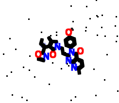 C/C=C(\C1=C(C)CN(CCc2nc3nc(C)ccc3c(=O)n2-c2ccc(OC)cc2)C1=O)c1ncco1